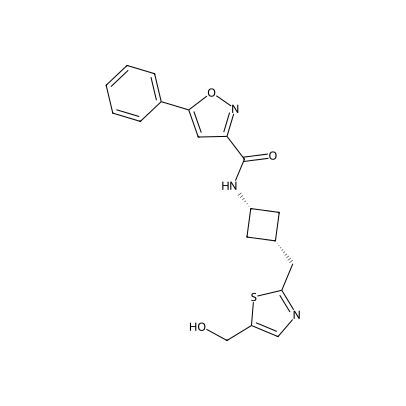 O=C(N[C@H]1C[C@@H](Cc2ncc(CO)s2)C1)c1cc(-c2ccccc2)on1